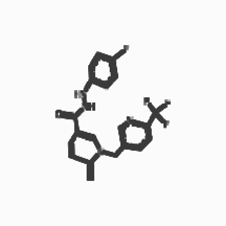 C=C1C=CC(C(=O)NNc2ccc(F)cc2)=CN1Cc1ccc(C(F)(F)F)nc1